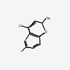 OC1C=C(Cl)c2cc(F)ccc2O1